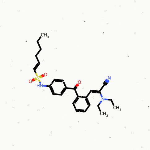 CCCCC=CS(=O)(=O)Nc1ccc(C(=O)c2ccccc2C=C(C#N)N(CC)CC)cc1